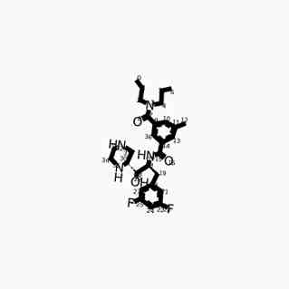 CCCN(CCC)C(=O)c1cc(C)cc(C(=O)N[C@@H](Cc2cc(F)cc(F)c2)C(O)[C@H]2CNCCN2)c1